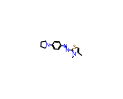 Cc1csc(/N=N/c2ccc(N3CCCC3)cc2)[n+]1C